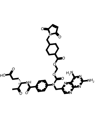 CC(=O)[C@H](CCC(=O)O)NC(=O)c1ccc(N(Cc2cnc3nc(N)nc(N)c3n2)C(=O)OCOC(=O)C2CCC(CN3C(=O)C=CC3=O)CC2)cc1